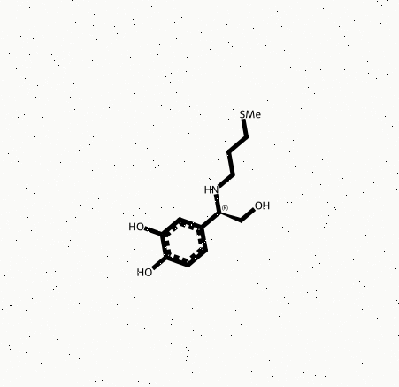 CSCCCN[C@@H](CO)c1ccc(O)c(O)c1